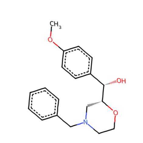 COc1ccc([C@H](O)[C@H]2CN(Cc3ccccc3)CCO2)cc1